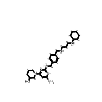 Nc1cc(N2CCCC(O)C2)nc(NCc2ccc(CNCCCNC3CCCCC3)cc2)n1